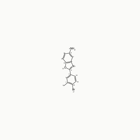 Cc1cc(-c2nc3cc(N)ccc3o2)ccc1Br